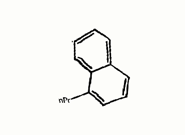 CCCc1cccc2cc[c]cc12